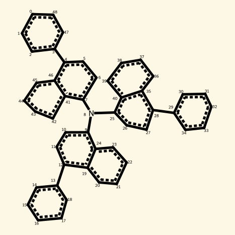 c1ccc(-c2ccc(N(c3ccc(-c4ccccc4)c4ccccc34)c3ccc(-c4ccccc4)c4ccccc34)c3ccccc23)cc1